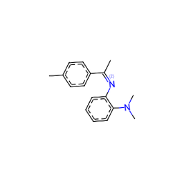 C/C(=N/c1ccccc1N(C)C)c1ccc(C)cc1